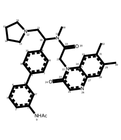 CC(=O)Nc1cccc(-c2ccc(C(CN3CCCC3)N(C)C(=O)Cn3c(=O)cnc4cc(C)c(C)cc43)cc2)c1